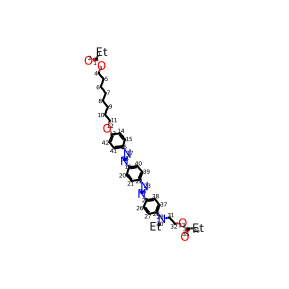 CCC(=O)OCCCCCCCCOc1ccc(N=Nc2ccc(N=Nc3ccc(N(CC)CCOC(=O)CC)cc3)cc2)cc1